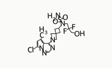 Cc1cc(Cl)n2ncnc(N3CC4(CC(N(CC(F)(F)CO)S(N)(=O)=O)C4)C3)c12